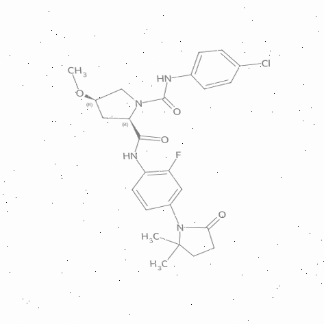 CO[C@@H]1C[C@H](C(=O)Nc2ccc(N3C(=O)CCC3(C)C)cc2F)N(C(=O)Nc2ccc(Cl)cc2)C1